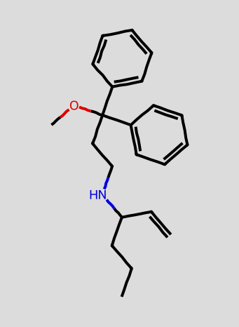 C=CC(CCC)NCCC(OC)(c1ccccc1)c1ccccc1